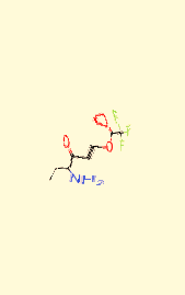 CCC(N)C(=O)CCOC(=O)C(F)(F)F